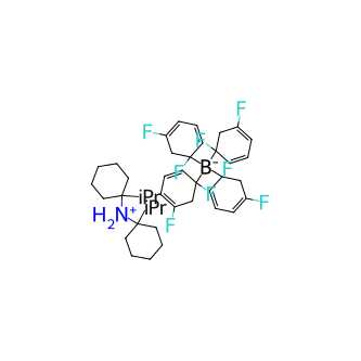 CC(C)C1([NH2+]C2(C(C)C)CCCCC2)CCCCC1.FC1=CC=CC(F)([B-](C2(F)C=CC=C(F)C2)(C2(F)C=CC=C(F)C2)C2(F)C=CC=C(F)C2)C1